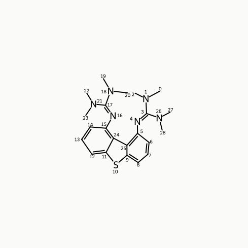 CN(C)C(=Nc1cccc2sc3cccc(N=C(N(C)C)N(C)C)c3c12)N(C)C